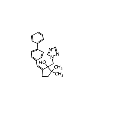 CC1(C)CC/C(=C/c2ccc(-c3ccccc3)cc2)C1(O)Cn1cncn1